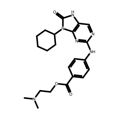 CN(C)CCOC(=O)c1ccc(Nc2ncc3[nH]c(=O)n(C4CCCCC4)c3n2)cc1